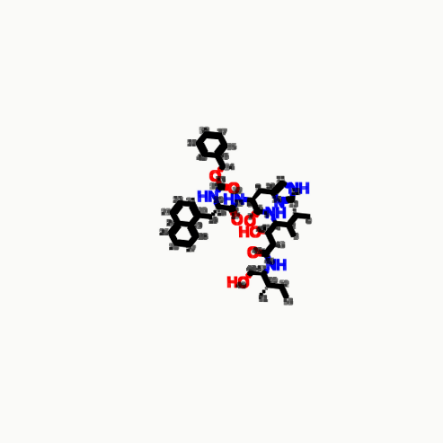 CCC(C)[C@H](NC(=O)[C@H](Cc1c[nH]cn1)NC(=O)[C@H](Cc1cccc2ccccc12)NC(=O)OCc1ccccc1)[C@@H](O)CC(=O)N[C@H](CO)[C@@H](C)CC